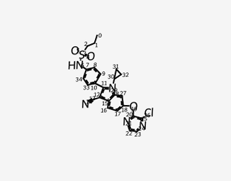 CCCS(=O)(=O)Nc1ccc(-c2c(C#N)c3ccc(Oc4nccnc4Cl)cc3n2C2CC2)cc1